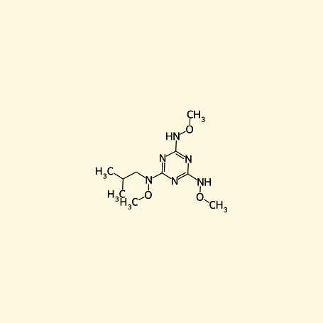 CONc1nc(NOC)nc(N(CC(C)C)OC)n1